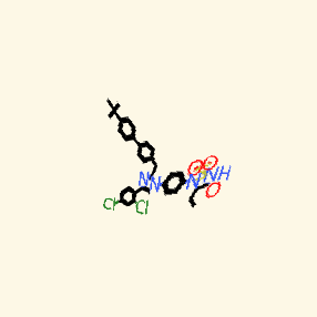 CCC1C(=O)NS(=O)(=O)N1c1ccc(-n2cc(-c3ccc(Cl)cc3Cl)nc2Cc2ccc(-c3ccc(C(C)(C)C)cc3)cc2)cc1